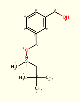 C[SiH](CC(C)(C)C)OCc1cccc(CO)c1